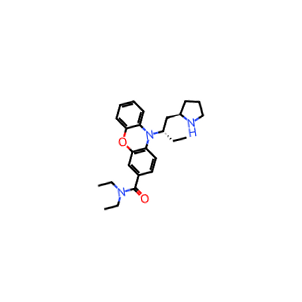 CC[C@@H](C[C@H]1CCCN1)N1c2ccccc2Oc2cc(C(=O)N(CC)CC)ccc21